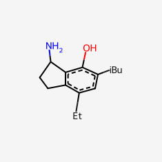 CCc1cc(C(C)CC)c(O)c2c1CCC2N